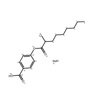 CCCCCCCC(Cl)C(=O)Oc1ccc(C(=O)O)cc1.[NaH]